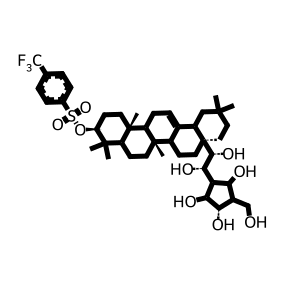 CC1(C)CC[C@]2([C@H](O)[C@@H](O)C3C(O)C(CO)[C@H](O)C3O)CCC3C(=CCC4[C@@]3(C)CCC3C(C)(C)[C@@H](OS(=O)(=O)c5ccc(C(F)(F)F)cc5)CC[C@@]34C)C2C1